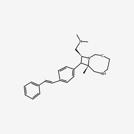 CN(C)C[C@@H]1C(c2ccc(C=Cc3ccccc3)cc2)[C@@]2(C)CNCCCCN12